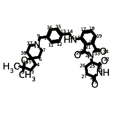 CC1(C)CCC2(CCN(Cc3ccc(CNc4cccc5c4C(=O)N(C4CCC(=O)NC4=O)C5=O)cc3)CC2)O1